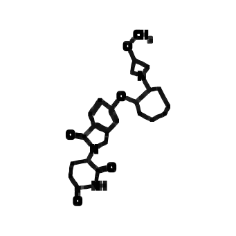 COC1CN(C2CCCCCC2Oc2ccc3c(c2)CN(C2CCC(=O)NC2=O)C3=O)C1